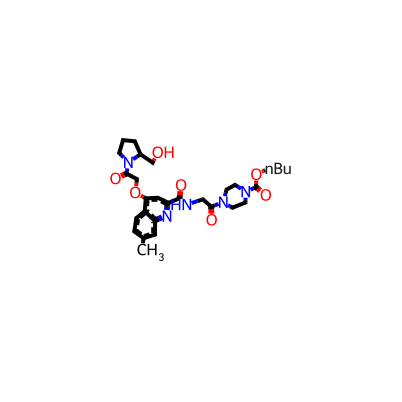 CCCCOC(=O)N1CCN(C(=O)CNC(=O)c2cc(OCC(=O)N3CCCC3CO)c3ccc(C)cc3n2)CC1